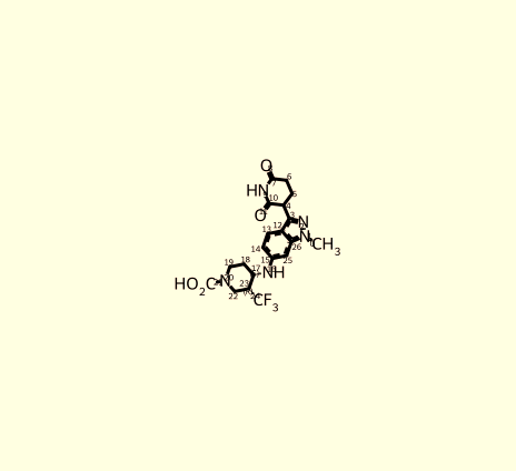 Cn1nc(C2CCC(=O)NC2=O)c2ccc(N[C@H]3CCN(C(=O)O)C[C@H]3C(F)(F)F)cc21